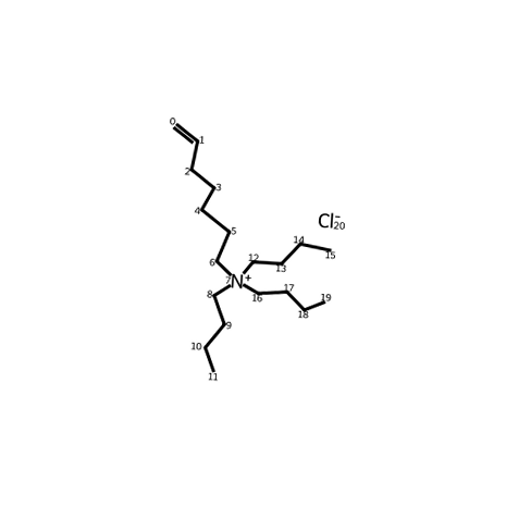 C=CCCCCC[N+](CCCC)(CCCC)CCCC.[Cl-]